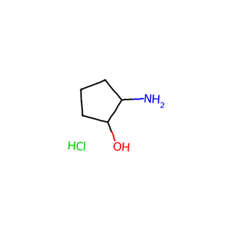 Cl.NC1CCCC1O